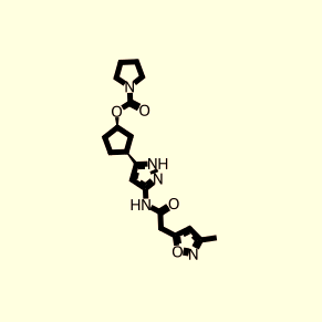 Cc1cc(CC(=O)Nc2cc([C@H]3CC[C@@H](OC(=O)N4CCCC4)C3)[nH]n2)on1